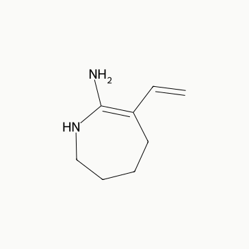 C=CC1=C(N)NCCCC1